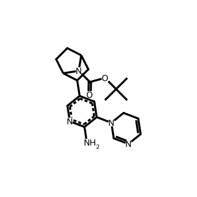 CC(C)(C)OC(=O)N1C2CCC1C(c1cnc(N)c(N3C=NC=CC3)c1)C2